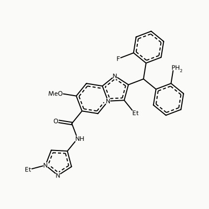 CCc1c(C(c2ccccc2F)c2ccccc2P)nc2cc(OC)c(C(=O)Nc3cnn(CC)c3)cn12